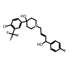 OC(/C=C/CN1CCC(O)(c2ccc(Cl)c(C(F)(F)F)c2)CC1)c1ccc(F)cc1